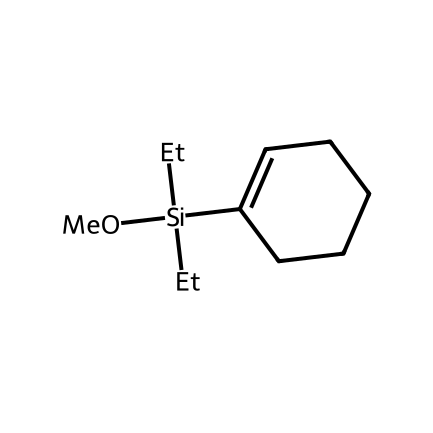 CC[Si](CC)(OC)C1=CCCCC1